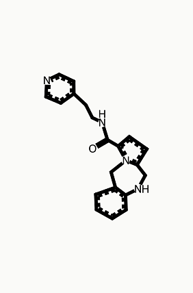 O=C(NCCc1ccncc1)c1ccc2n1Cc1ccccc1NC2